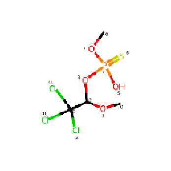 COC(OP(O)(=S)OC)C(Cl)(Cl)Cl